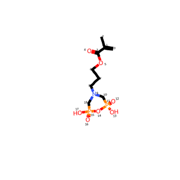 C=C(C)C(=O)OCCCN1CP(=O)(O)OP(=O)(O)C1